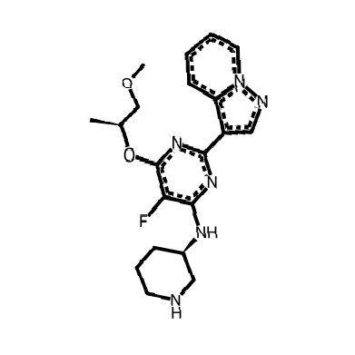 COC[C@H](C)Oc1nc(-c2cnn3ccccc23)nc(N[C@@H]2CCCNC2)c1F